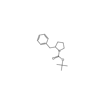 CC(C)(C)OC(=O)N1CCCC1Cc1ccccc1